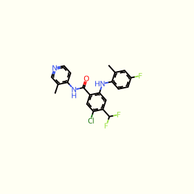 Cc1cnccc1NC(=O)c1cc(Cl)c(C(F)F)cc1Nc1ccc(F)cc1C